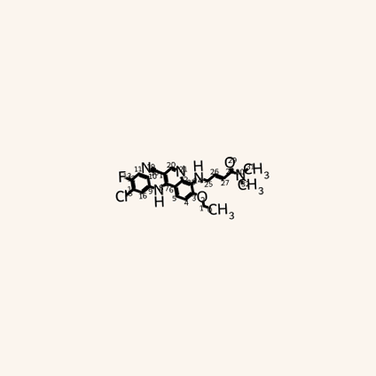 CCOc1ccc2c(Nc3ccc(F)c(Cl)c3)c(C#N)cnc2c1NCC=CC(=O)N(C)C